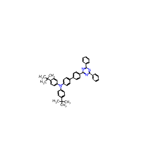 CC(C)(C)c1ccc(N(c2ccc(-c3ccc(-c4nc(-c5ccccc5)nc(-c5ccccc5)n4)cc3)cc2)c2ccc(C(C)(C)C)cc2)cc1